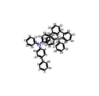 c1ccc(-c2ccc(N(c3ccccc3)c3ccc(-c4cccc5c4[Si](c4ccccc4)(c4ccccc4)c4ccccc4-5)cc3)cc2)cc1